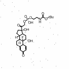 CC(C)(C)OC(=O)NCCOP(=O)(O)OCC(=O)[C@@]1(O)CC[C@H]2[C@@H]3CCC4=CC(=O)C=C[C@]4(C)[C@@]3(F)[C@@H](O)C[C@@]21C